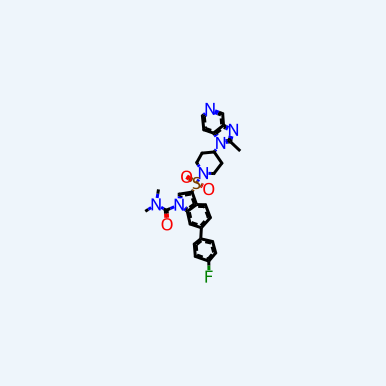 Cc1nc2cnccc2n1C1CCN(S(=O)(=O)c2cn(C(=O)N(C)C)c3cc(-c4ccc(F)cc4)ccc23)CC1